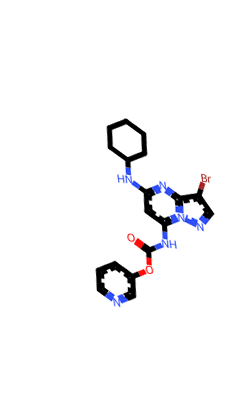 O=C(Nc1cc(NC2CCCCC2)nc2c(Br)cnn12)Oc1cccnc1